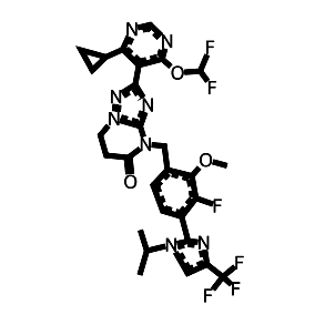 COc1c(CN2C(=O)CCn3nc(-c4c(OC(F)F)ncnc4C4CC4)nc32)ccc(-c2nc(C(F)(F)F)cn2C(C)C)c1F